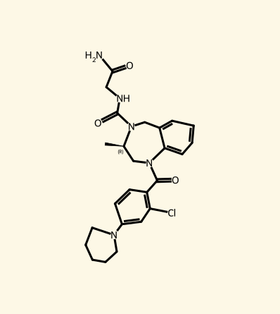 C[C@@H]1CN(C(=O)c2ccc(N3CCCCC3)cc2Cl)c2ccccc2CN1C(=O)NCC(N)=O